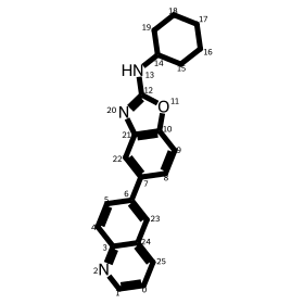 c1cnc2ccc(-c3ccc4oc(NC5CCCCC5)nc4c3)cc2c1